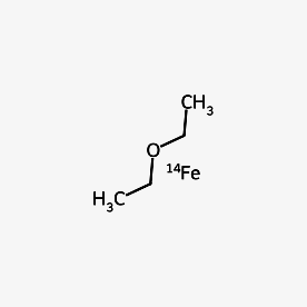 CCOCC.[14Fe]